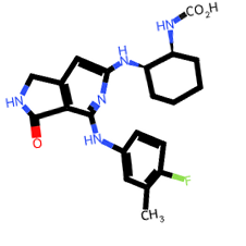 Cc1cc(Nc2nc(N[C@@H]3CCCC[C@@H]3NC(=O)O)cc3c2C(=O)NC3)ccc1F